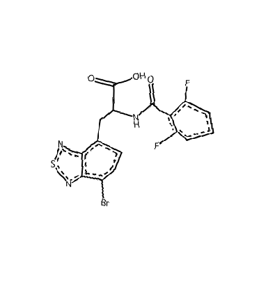 O=C(NC(Cc1ccc(Br)c2nsnc12)C(=O)O)c1c(F)cccc1F